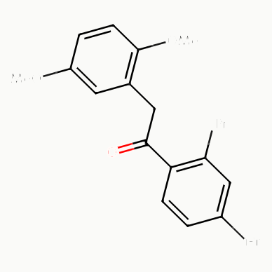 COc1ccc(OC)c(CC(=O)c2ccc(C(C)C)[c]c2C(C)C)c1